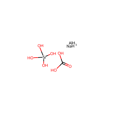 O=C(O)O.O[Si](O)(O)O.[AlH3].[NaH]